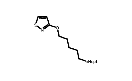 CCCCCCCCCCCCOc1ccsn1